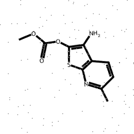 COC(=O)Oc1sc2nc(C)ccc2c1N